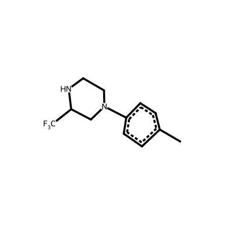 Cc1ccc(N2CCNC(C(F)(F)F)C2)cc1